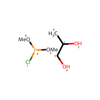 CC(O)CO.COP(Cl)OC